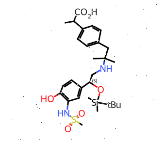 CC(C(=O)O)c1ccc(CC(C)(C)NC[C@@H](O[Si](C)(C)C(C)(C)C)c2ccc(O)c(NS(C)(=O)=O)c2)cc1